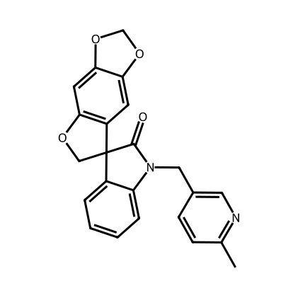 Cc1ccc(CN2C(=O)C3(COc4cc5c(cc43)OCO5)c3ccccc32)cn1